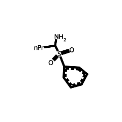 CCCC(N)S(=O)(=O)c1ccccc1